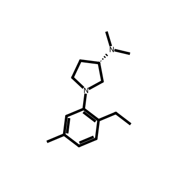 CCc1ccc(C)cc1N1CC[C@H](N(C)C)C1